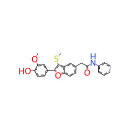 COc1cc(-c2oc3ccc(CC(=O)Nc4ccccc4)cc3c2SC)ccc1O